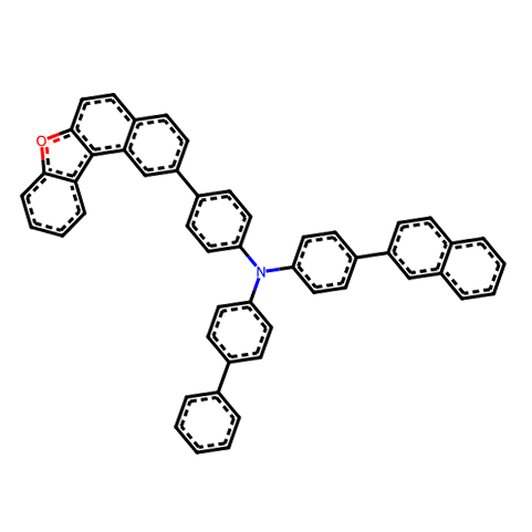 c1ccc(-c2ccc(N(c3ccc(-c4ccc5ccccc5c4)cc3)c3ccc(-c4ccc5ccc6oc7ccccc7c6c5c4)cc3)cc2)cc1